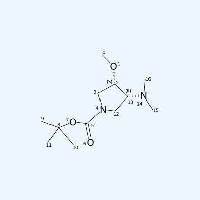 CO[C@H]1CN(C(=O)OC(C)(C)C)C[C@H]1N(C)C